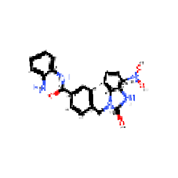 Nc1ccccc1NC(=O)c1ccc(Cn2c(=O)[nH]c3c([N+](=O)[O-])cccc32)cc1